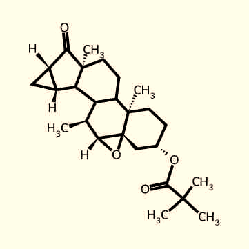 C[C@H]1C2C3[C@@H]4C[C@@H]4C(=O)[C@@]3(C)CCC2[C@@]2(C)CC[C@H](OC(=O)C(C)(C)C)C[C@]23O[C@H]13